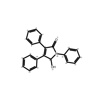 O=C1C(c2ccccc2)=C(c2ccccc2)C(O)N1c1ccccc1